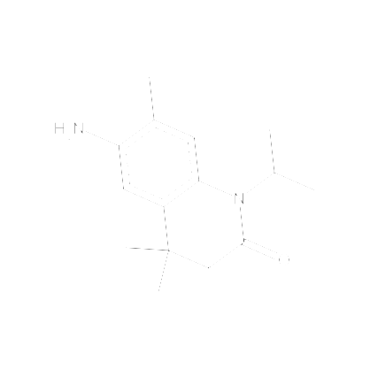 Cc1cc2c(cc1N)C(C)(C)CC(=O)N2C(C)C